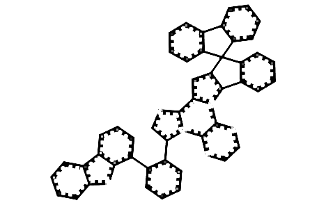 c1ccc(-c2cnc3c4cc5c(n4c4nccnc4n23)-c2ccccc2C52c3ccccc3-c3ccccc32)c(-c2cccc3c2oc2ccccc23)c1